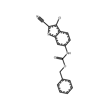 N#Cc1sc2cc(NC(=O)OCc3ccccc3)ccc2c1Cl